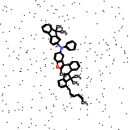 C/C=C\C=C/Cc1cccc2c1C(C)(C)C(c1ccccc1-c1c(C)oc3c1CC(N(c1ccccc1)c1ccc4c(c1)C(C)(C)c1ccccc1-4)C=C3)=C2